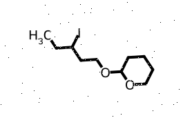 CCC(I)CCOC1CCCCO1